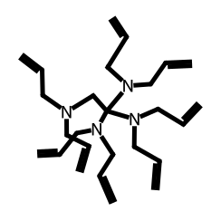 C=CCN(CC=C)CC(N(CC=C)CC=C)(N(CC=C)CC=C)N(CC=C)CC=C